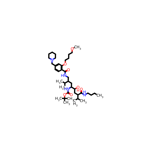 CCCCNC(=O)C(CC(O)C(CC(CNC(=O)c1ccc(CN2CCCCC2)cc1OCCCCOC)C(C)C)NC(=O)OC(C)(C)C)C(C)C